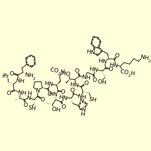 CC(C)C[C@H](NC(=O)[C@@H](N)Cc1ccccc1)C(=O)N[C@@H](C)C(=O)N[C@@H](CS)C(=O)N1CCC[C@H]1C(=O)N[C@@H](CCC(=O)O)C(=O)N[C@H](C(=O)N[C@@H](Cc1c[nH]cn1)C(=O)N[C@@H](CS)C(=O)N[C@H](C(=O)NCC(=O)N[C@@H](CO)C(=O)N[C@@H](Cc1c[nH]c2ccccc12)C(=O)N[C@@H](CCCCN)C(=O)O)[C@@H](C)O)[C@@H](C)O